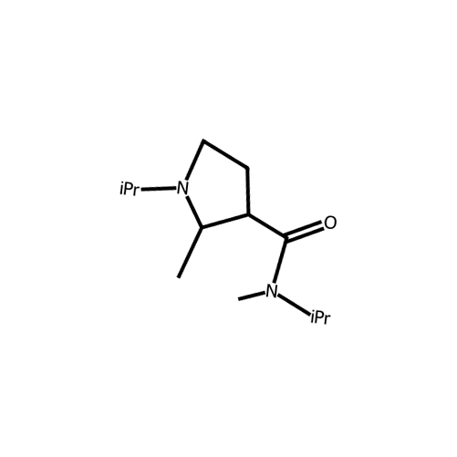 CC(C)N(C)C(=O)C1CCN(C(C)C)C1C